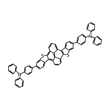 c1ccc(N(c2ccccc2)c2ccc(-c3ccc4c(c3)sc3c5cccc6c7c8ccc(-c9ccc(N(c%10ccccc%10)c%10ccccc%10)cc9)cc8sc7c7cccc(c43)c7c56)cc2)cc1